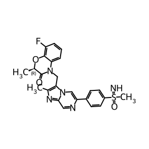 Cc1nc2cnc(-c3ccc(S(C)(=N)=O)cc3)cn2c1CN1C(=O)[C@@H](C)Oc2c(F)cccc21